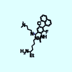 C=CNc1c(/C(=N\CCCN(C)C)NCCCCC(N)CC)cc(Cl)c(-c2cccc3ccccc23)c1F